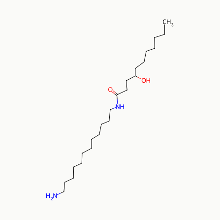 CCCCCCCC(O)CCC(=O)NCCCCCCCCCCCCN